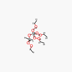 CCOO[Si](C)(C)O[Si](OOCC)(OOCC)OOCC